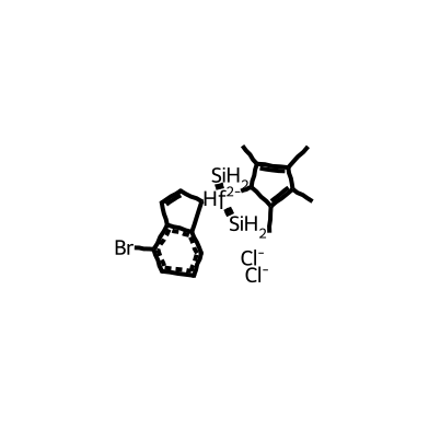 CC1=C(C)[CH]([Hf-2](=[SiH2])(=[SiH2])[CH]2C=Cc3c(Br)cccc32)C(C)=C1C.[Cl-].[Cl-]